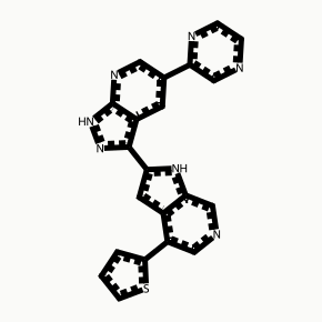 c1csc(-c2cncc3[nH]c(-c4n[nH]c5ncc(-c6cnccn6)cc45)cc23)c1